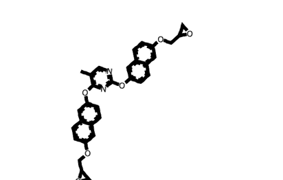 Cc1cnc(Oc2ccc3cc(OCC4CO4)ccc3c2)nc1Oc1ccc2cc(OCC3CO3)ccc2c1